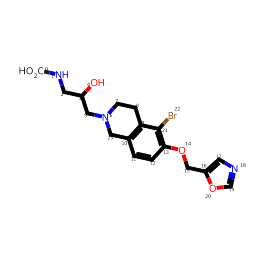 O=C(O)NCC(O)CN1CCc2c(ccc(OCc3cnco3)c2Br)C1